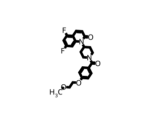 COCCOc1ccc(C(=O)N2CCC(n3c(=O)ccc4c(F)cc(F)cc43)CC2)cc1